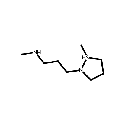 CNCCCN1CCC[SH]1C